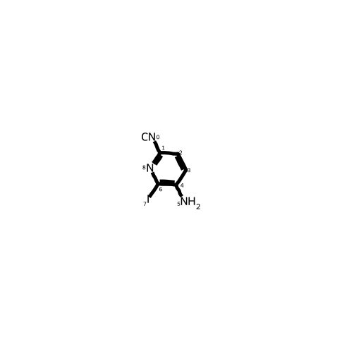 [C-]#[N+]c1ccc(N)c(I)n1